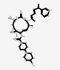 C/C(=C\C=C\C(C)c1cccnc1)[C@H]1OC(=O)C[C@@H](O)CC[C@](C)(O)[C@@H](OC(=O)N2CCC(N3CCC(F)CC3)CC2)/C=C/[C@@H]1C